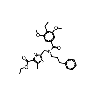 CCOC(=O)c1nc(CN(CCCc2ccccc2)C(=O)c2cc(OC)c(CC)c(OC)c2)sc1C